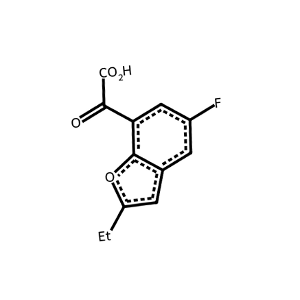 CCc1cc2cc(F)cc(C(=O)C(=O)O)c2o1